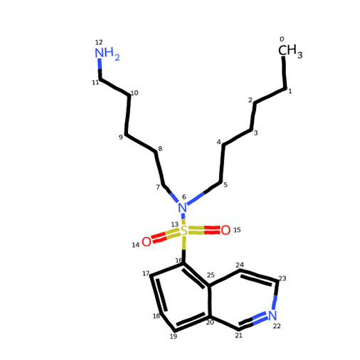 CCCCCCN(CCCCCN)S(=O)(=O)c1cccc2cnccc12